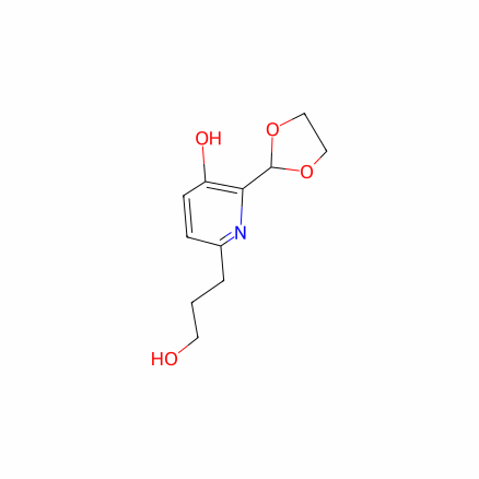 OCCCc1ccc(O)c(C2OCCO2)n1